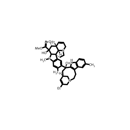 CCC1=C[C@@H]2CN(CCc3c([nH]c4ccc(C)cc34)[C@@](C)(c3cc4c(cc3C)N(C)C3C(O)(C(=O)OC)[C@H](OC(C)=O)[C@]5(CC)C=CCN6CC[C@]43[C@@H]65)C2)C1